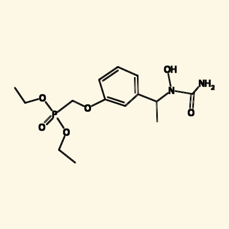 CCOP(=O)(COc1cccc(C(C)N(O)C(N)=O)c1)OCC